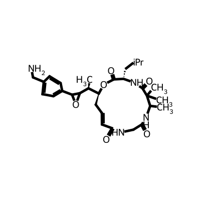 CC(C)C[C@@H]1NC(=O)C(C)(C)C(C)NC(=O)CNC(=O)/C=C/C[C@@H]([C@H](C)C2OC2c2ccc(CN)cc2)OC1=O